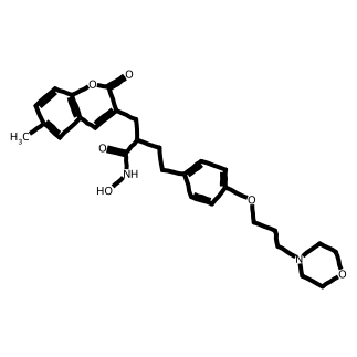 Cc1ccc2oc(=O)c(CC(CCc3ccc(OCCCN4CCOCC4)cc3)C(=O)NO)cc2c1